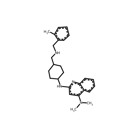 Cc1ccccc1CNCC1CCC(Nc2cc(N(C)C)c3ccccc3n2)CC1